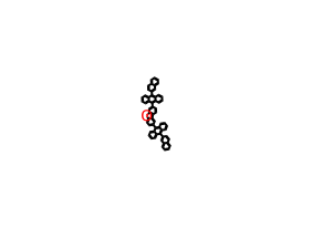 c1ccc2cc(-c3c4ccccc4c(-c4ccc5c(c4)oc4ccc(-c6c7ccccc7c(-c7ccc8ccccc8c7)c7ccccc67)cc45)c4ccccc34)ccc2c1